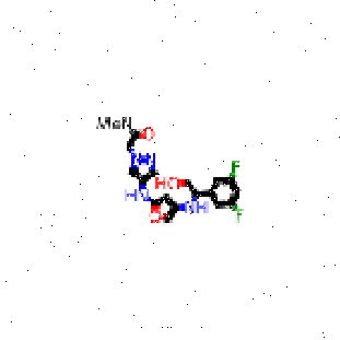 CNC(=O)Cn1cc(Nc2cc(NC(CO)c3cc(F)cc(F)c3)co2)cn1